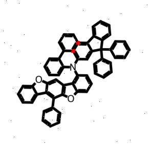 c1ccc(-c2ccccc2N(c2ccc3c(c2)C(c2ccccc2)(c2ccccc2)c2ccccc2-3)c2cccc3oc4c(-c5ccccc5)c5c(cc4c23)oc2ccccc25)cc1